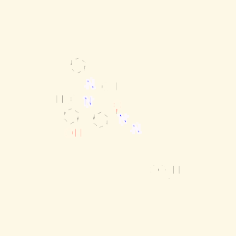 C[C@@H]1CN(C(c2cccc(O)c2)c2cccc(C(=O)N3CCN(CCCCCC(=O)O)CC3)c2)[C@H](C)CN1Cc1ccccc1